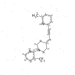 Cc1cccc(C#CC=C2CCN(c3ncccc3C(F)(F)F)CC2)n1